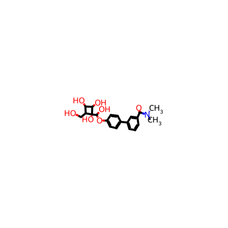 CN(C)C(=O)c1cccc(-c2ccc(OC(O)C3(O)C(O)C(O)C3CO)cc2)c1